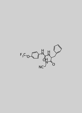 N#CCNC(=O)C(Cc1ccccc1)NC(=O)Nc1ccc(OC(F)(F)F)cc1